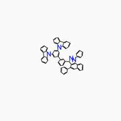 c1ccc(-c2cc3ccccc3c3c2c(-c2cccc(-c4cc(-n5c6ccccc6c6ccccc65)cc(-n5c6ccccc6c6ccccc65)c4)c2)nn3-c2ccccc2)cc1